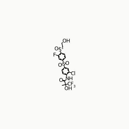 CC(O)(C(=O)Nc1ccc(S(=O)(=O)c2ccc([S+]([O-])CCO)c(F)c2)cc1Cl)C(F)(F)F